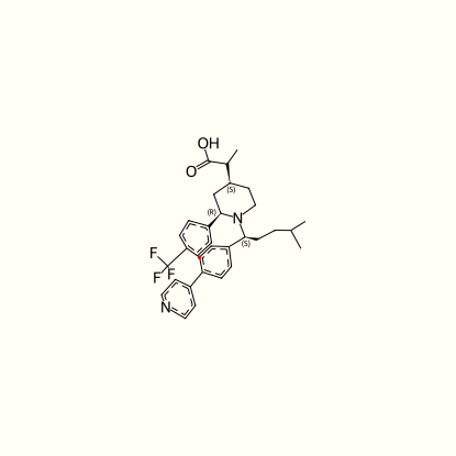 CC(C)CC[C@@H](c1ccc(-c2ccncc2)cc1)N1CC[C@H](C(C)C(=O)O)C[C@@H]1c1ccc(C(F)(F)F)cc1